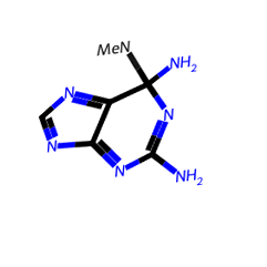 CNC1(N)N=C(N)N=C2N=CN=C21